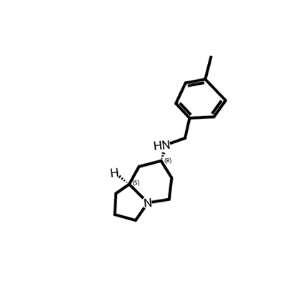 Cc1ccc(CN[C@@H]2CCN3CCC[C@H]3C2)cc1